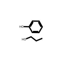 CCCO.Oc1ccccc1